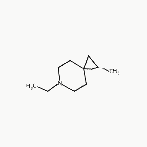 CCN1CCC2(CC1)C[C@@H]2C